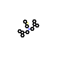 c1cc(-c2cc3ccccc3c3ccccc23)cc(N(c2cccc(-c3cc4ccccc4c4ccccc34)c2)c2ccc3c(c2)sc2ccccc23)c1